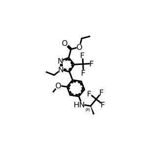 CCOC(=O)c1nn(CC)c(-c2ccc(N[C@H](C)C(F)(F)F)cc2OC)c1C(F)(F)F